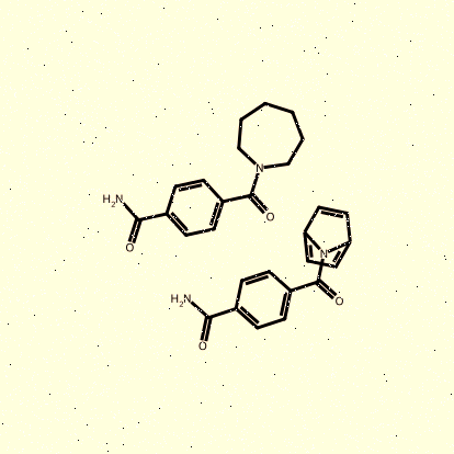 NC(=O)c1ccc(C(=O)N2CCCCCC2)cc1.NC(=O)c1ccc(C(=O)n2c3ccc2cc3)cc1